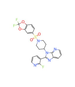 O=S(=O)(c1ccc2c(c1)OC(F)(F)O2)N1CCC(n2c(-c3cccnc3F)nc3cccnc32)CC1